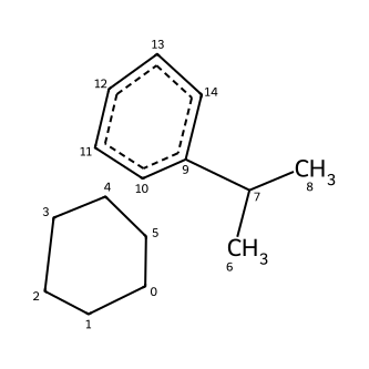 C1CCCCC1.CC(C)c1ccccc1